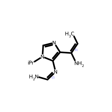 C/C=C(/N)c1ncn(C(C)C)c1/N=C\N